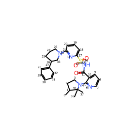 CC1CCN(c2ncccc2C(=O)NS(=O)(=O)c2cccc(N3CCCC(c4ccccc4)C3)n2)C1(C)C